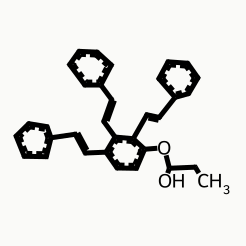 CCC(O)Oc1ccc(C=Cc2ccccc2)c(C=Cc2ccccc2)c1C=Cc1ccccc1